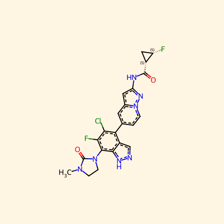 CN1CCN(c2c(F)c(Cl)c(-c3ccn4nc(NC(=O)[C@@H]5C[C@@H]5F)cc4c3)c3cn[nH]c23)C1=O